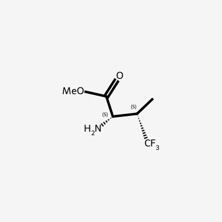 COC(=O)[C@@H](N)[C@H](C)C(F)(F)F